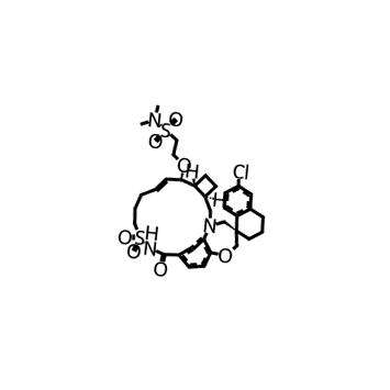 CN(C)S(=O)(=O)CCO[C@@H]1/C=C/CCCS(=O)(=O)NC(=O)c2ccc3c(c2)N(C[C@@H]2CC[C@H]21)C[C@@]1(CCCc2cc(Cl)ccc21)CO3